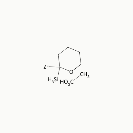 CC(=O)O.[SiH3][C]1([Zr])CCCCO1